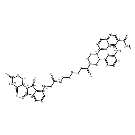 NC(=O)c1cnc2ccc(N3CCN(C(=O)CCCCCNC(=O)CNc4cccc5c4C(=O)N(C4CCC(=O)NC4=O)C5=O)CC3)cc2c1Nc1ccccc1